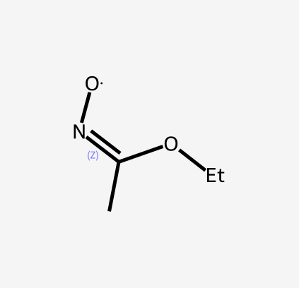 CCO/C(C)=N\[O]